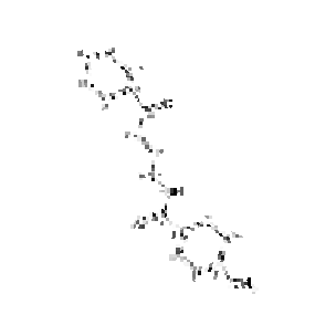 Cc1ccc(C(=O)NN/C=C/C(=O)c2ccccc2)cc1